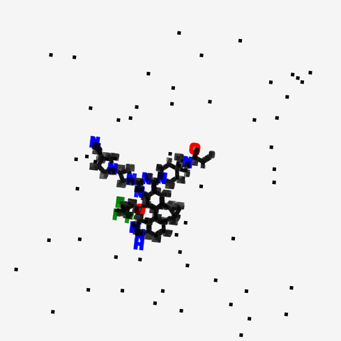 C=CC(=O)N1CC2(CCN(c3nc(N4CC(N5CC[C@@H](C#N)C5)C4)nc4c(OCC(F)(F)F)c(-c5c(C)ccc6[nH]ncc56)c(C5CC5)cc34)CC2)C1